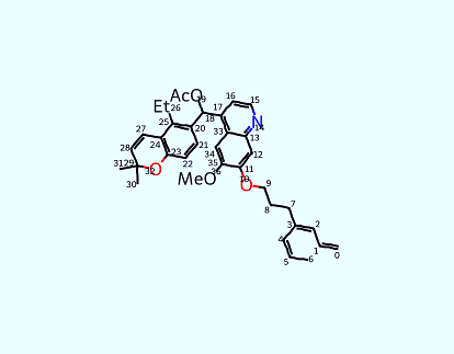 C=C/C=C(\C=C/C)CCCOc1cc2nccc(C(OC(C)=O)c3ccc4c(c3CC)C=CC(C)(C)O4)c2cc1OC